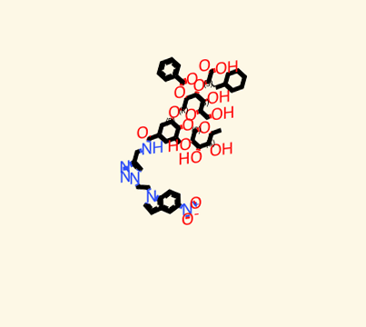 CC1CC(C(=O)NCc2cn(CCn3ccc4cc([N+](=O)[O-])ccc43)nn2)C[C@@H](O[C@@H]2OC(CO)[C@H](O)C(O[C@@H](CC3CCCCC3)C(=O)O)C2OC(=O)c2ccccc2)C1O[C@@H]1OC(C)[C@@H](O)C(O)C1O